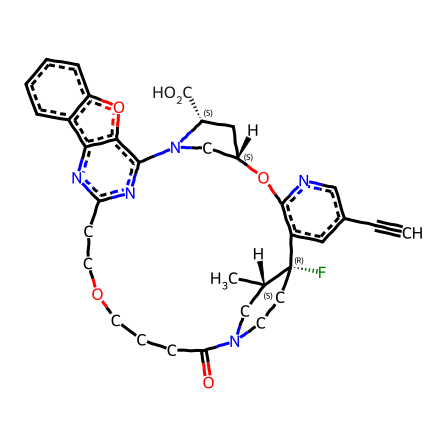 C#Cc1cnc2c(c1)[C@@]1(F)CCN(C[C@@H]1C)C(=O)CCCOCCc1nc(c3oc4ccccc4c3n1)N1C[C@H](C[C@H]1C(=O)O)O2